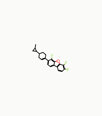 CC1CC1C1CC=C(c2ccc3c(oc4c(F)c(F)ccc43)c2F)CC1